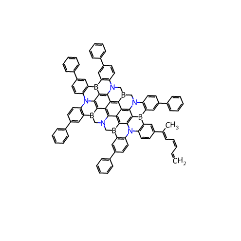 C=C/C=C\C=C(/C)c1ccc2c(c1)B1c3cc(-c4ccccc4)ccc3N3CB4CN5c6ccc(-c7ccccc7)cc6B6c7cc(-c8ccccc8)ccc7N7c8ccc(-c9ccccc9)cc8B8CN9CB%10c%11cc(-c%12ccccc%12)ccc%11N2c2c1c3c1c4c3c5c6c7c8c3c9c1c2%10